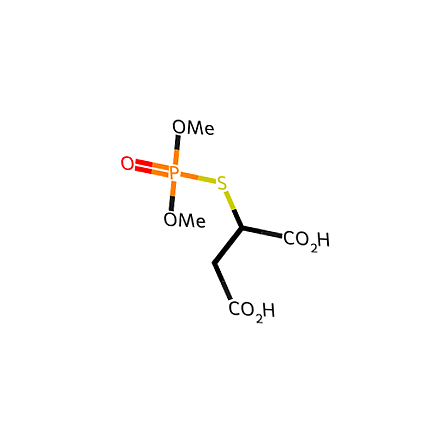 COP(=O)(OC)SC(CC(=O)O)C(=O)O